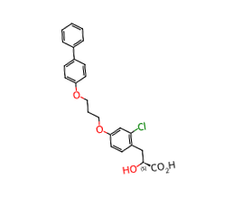 O=C(O)[C@@H](O)Cc1ccc(OCCCOc2ccc(-c3ccccc3)cc2)cc1Cl